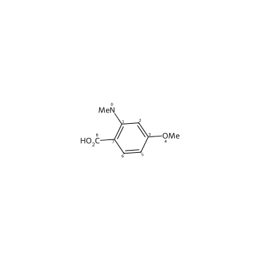 CNc1cc(OC)ccc1C(=O)O